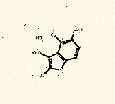 COc1c(C)sc2ccc(C(=O)O)c(Cl)c12.Cl